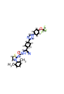 Cc1cccc(C)c1N1CCS/C1=N\C(=O)N/C=C(\C#N)c1ccc(-c2ncn(-c3ccc(OC(F)(F)F)cc3)n2)cc1